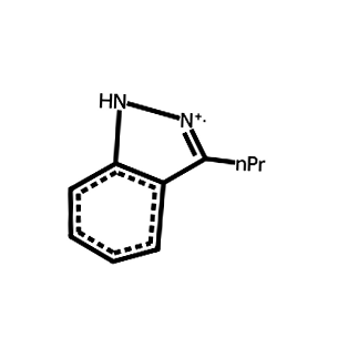 CCCC1=[N+]Nc2ccccc21